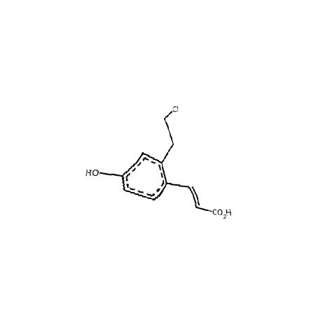 O=C(O)C=Cc1ccc(O)cc1CCCl